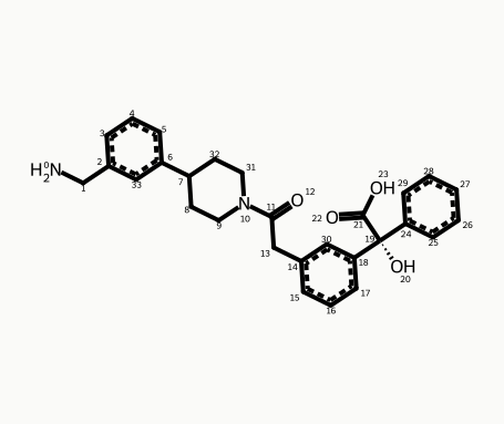 NCc1cccc(C2CCN(C(=O)Cc3cccc([C@@](O)(C(=O)O)c4ccccc4)c3)CC2)c1